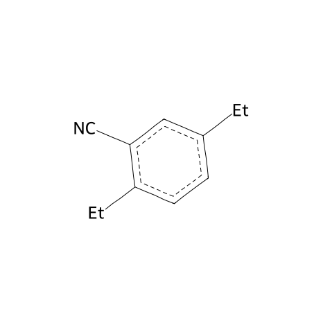 CCc1ccc(CC)c(C#N)c1